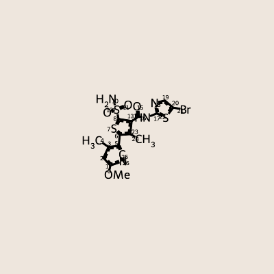 COc1cc(C)c(-c2sc(S(N)(=O)=O)c(C(=O)Nc3ncc(Br)s3)c2C)cn1